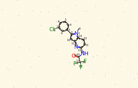 Cn1c(-c2cccc(Cl)c2)cc2nc(NC(=O)C(F)(F)F)ccc21